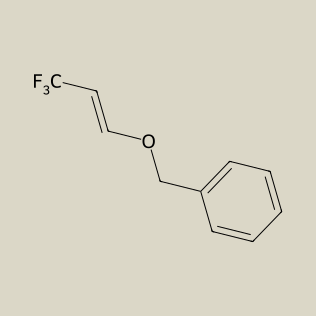 FC(F)(F)/C=C/OCc1ccccc1